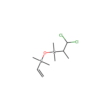 C=C[Si](C)(C)O[Si](C)(C)C(C)C(Cl)Cl